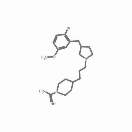 COc1ccc(Br)c(CC2CCN(CCCC3CCN(C(=N)N)CC3)C2)c1